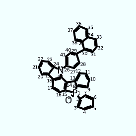 O=P1(c2ccccc2)c2ccccc2-c2c1ccc1c3ccccc3n(-c3ccc(-c4cccc5ccccc45)cc3)c21